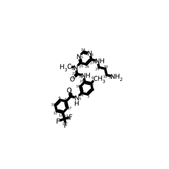 Cc1ccc(NC(=O)c2cccc(C(F)(F)F)c2)cc1NC(=O)N(C)c1cc(NCCCN)ncn1